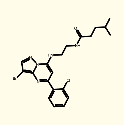 CC(C)CCC(=O)NCCNc1cc(-c2ccccc2Cl)nc2c(Br)cnn12